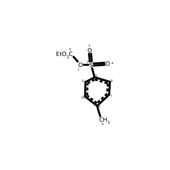 CCOC(=O)OS(=O)(=O)c1ccc(C)cc1